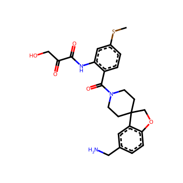 CSc1ccc(C(=O)N2CCC3(CC2)COc2ccc(CN)cc23)c(NC(=O)C(=O)CO)c1